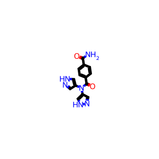 NC(=O)c1ccc(C(=O)N(c2cn[nH]c2)c2cn[nH]c2)cc1